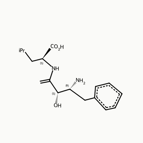 C=C(N[C@@H](CC(C)C)C(=O)O)[C@@H](O)[C@H](N)Cc1ccccc1